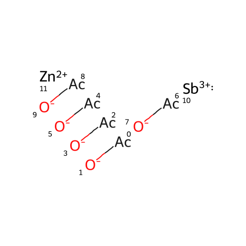 CC(=O)[O-].CC(=O)[O-].CC(=O)[O-].CC(=O)[O-].CC(=O)[O-].[Sb+3].[Zn+2]